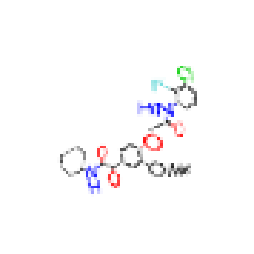 COc1cc(C(=O)C(=O)NC2CCCCC2)ccc1OCC(=O)Nc1cccc(Cl)c1F